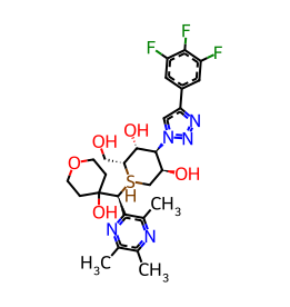 Cc1nc(C)c([C@H]([SH]2C[C@H](O)[C@H](n3cc(-c4cc(F)c(F)c(F)c4)nn3)[C@@H](O)[C@H]2CO)C2(O)CCOCC2)nc1C